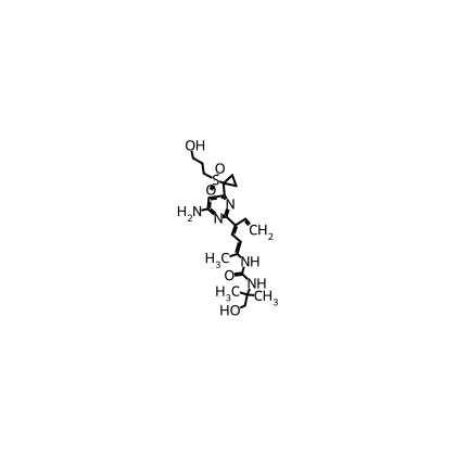 C=C/C(=C\C=C(/C)NC(=O)NC(C)(C)CO)c1nc(N)cc(C2(S(=O)(=O)CCCO)CC2)n1